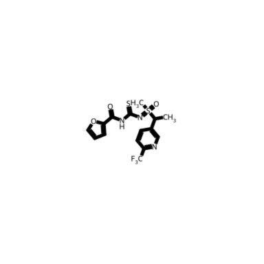 CC(c1ccc(C(F)(F)F)nc1)S(C)(=O)=NC(=S)NC(=O)c1ccco1